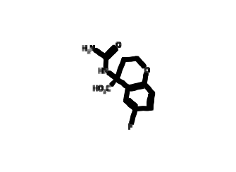 NC(=O)N[C@]1(C(=O)O)CCOc2ccc(F)cc21